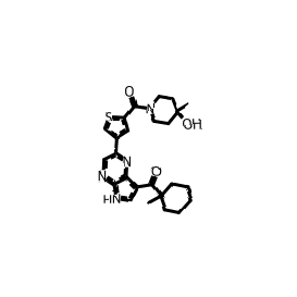 CC1(O)CCN(C(=O)c2cc(-c3cnc4[nH]cc(C(=O)C5(C)CCCCC5)c4n3)cs2)CC1